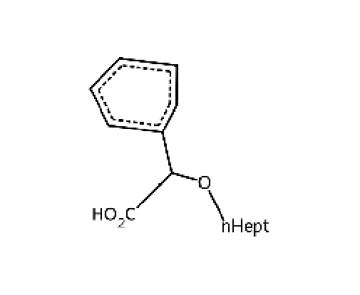 CCCCCCCOC(C(=O)O)c1ccccc1